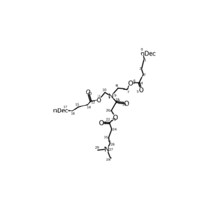 CCCCCCCCCCCCCC(=O)OCCN(COC(=O)CCCCCCCCCCCCC)C(=O)COC(=O)CCCN(C)C